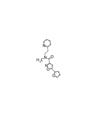 CN(CCc1ccccn1)C(=O)c1cc(-c2ccco2)on1